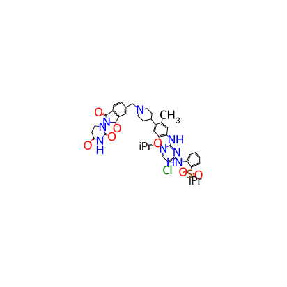 Cc1cc(Nc2ncc(Cl)c(Nc3ccccc3S(=O)(=O)C(C)C)n2)c(OC(C)C)cc1C1CCN(Cc2ccc3c(c2)C(=O)N(N2CCC(=O)NC2=O)C3=O)CC1